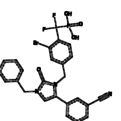 N#Cc1cccc(-c2cn(Cc3ccccc3)c(=O)n2Cc2ccc(C(F)(F)P(=O)(O)O)c(Br)c2)c1